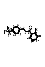 O=C(CCc1ccc(C(F)(F)F)cc1)c1ccccc1F